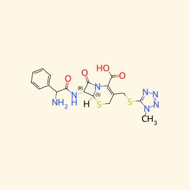 Cn1nnnc1SCC1=C(C(=O)O)N2C(=O)[C@@H](NC(=O)C(N)c3ccccc3)[C@@H]2SC1